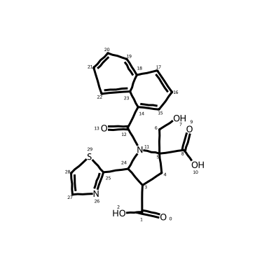 O=C(O)C1CC(CO)(C(=O)O)N(C(=O)c2cccc3ccccc23)C1c1nccs1